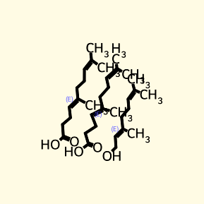 CC(C)=CCC/C(C)=C/CCC(=O)O.CC(C)=CCC/C(C)=C/CCC(=O)O.CC(C)=CCC/C(C)=C/CO